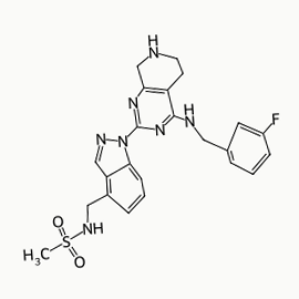 CS(=O)(=O)NCc1cccc2c1cnn2-c1nc2c(c(NCc3cccc(F)c3)n1)CCNC2